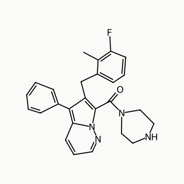 Cc1c(F)cccc1Cc1c(-c2ccccc2)c2cccnn2c1C(=O)N1CCNCC1